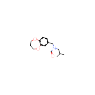 CC(C)CN(C=O)Cc1ccc2c(c1)OCCCO2